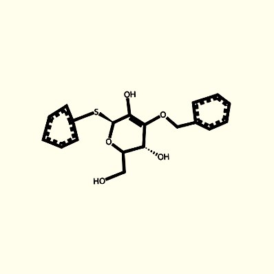 OCC1O[C@@H](Sc2ccccc2)C(O)=C(OCc2ccccc2)[C@@H]1O